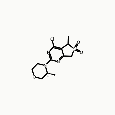 CC1c2c(Cl)nc(N3CCOC[C@@H]3C)nc2CS1(=O)=O